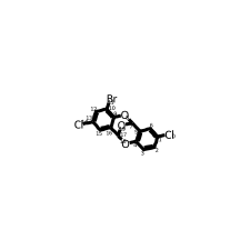 Clc1ccc2c(c1)C1Oc3c(Br)cc(Cl)cc3C(O2)O1